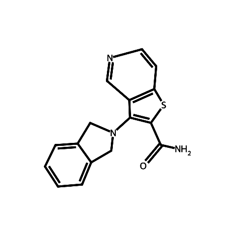 NC(=O)c1sc2ccncc2c1N1Cc2ccccc2C1